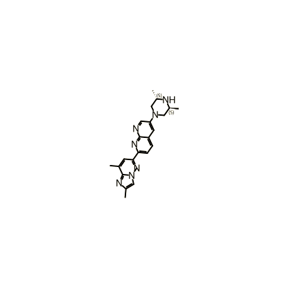 Cc1cn2nc(-c3ccc4cc(N5C[C@H](C)N[C@@H](C)C5)cnc4n3)cc(C)c2n1